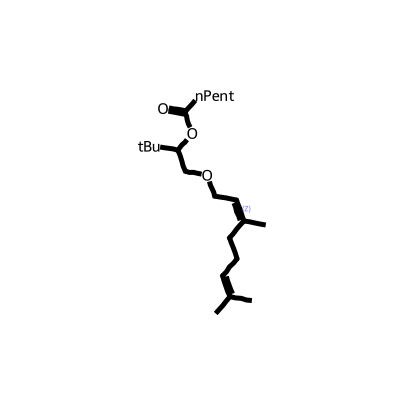 CCCCCC(=O)OC(COC/C=C(/C)CCC=C(C)C)C(C)(C)C